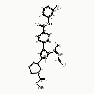 CC(C)(C)OC(=O)N1CCCC(c2cc(-c3ccc(C(=O)Nc4cc(C(F)(F)F)ccn4)cc3)c(/C(N)=N\C=N)[nH]2)C1